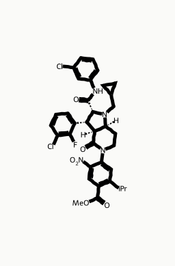 COC(=O)c1cc([N+](=O)[O-])c(N2CC[C@H]3[C@@H](C2=O)[C@H](c2cccc(Cl)c2F)[C@H](C(=O)Nc2cccc(Cl)c2)N3CC2CC2)cc1C(C)C